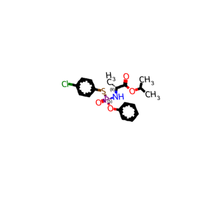 CC(C)OC(=O)[C@@H](C)N[P@](=O)(Oc1ccccc1)Sc1ccc(Cl)cc1